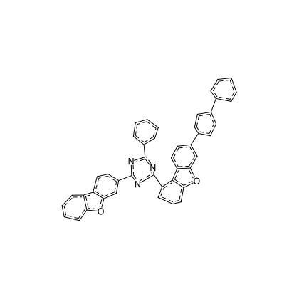 c1ccc(-c2ccc(-c3ccc4c(c3)oc3cccc(-c5nc(-c6ccccc6)nc(-c6ccc7c(c6)oc6ccccc67)n5)c34)cc2)cc1